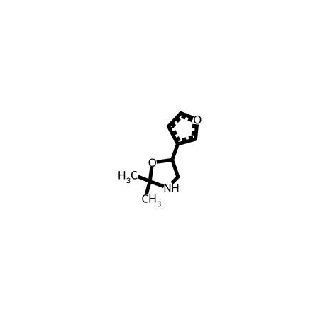 CC1(C)NCC(c2ccoc2)O1